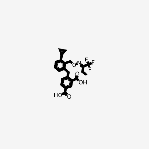 CCC(=NOCc1c(Cc2ccc(C(=O)O)cc2C(=O)O)cccc1C1CC1)C(F)(F)F